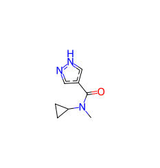 CN(C(=O)c1cn[nH]c1)C1CC1